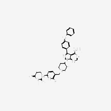 Nc1ncnc2c1c(-c1ccc(Oc3ccccc3)cc1)nn2C1CCN(Cc2ccc(N3CCC(=O)NC3=O)nc2F)CC1